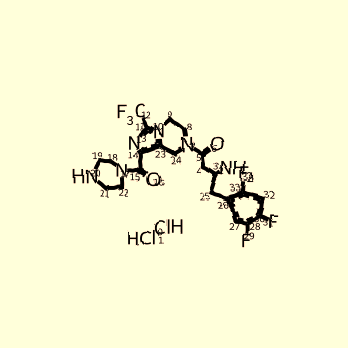 Cl.Cl.NC(CC(=O)N1CCn2c(C(F)(F)F)nc(C(=O)N3CCNCC3)c2C1)Cc1cc(F)c(F)cc1F